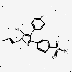 CC=Cn1nc(-c2ccc(S(N)(=O)=O)cc2)c(-c2ccc(C)cc2)c1C#N